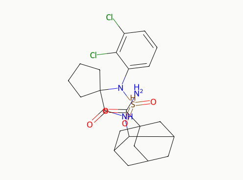 NC(=O)C12CC3CC(C1)C(NC(=O)C1(N(c4cccc(Cl)c4Cl)[SH](=O)=O)CCCC1)C(C3)C2